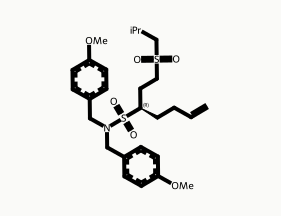 C=CCC[C@H](CCS(=O)(=O)CC(C)C)S(=O)(=O)N(Cc1ccc(OC)cc1)Cc1ccc(OC)cc1